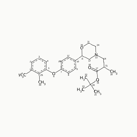 Cc1cccc(Oc2ccc(C3CN(CC(C)C(=O)OC(C)(C)C)CCO3)cc2)c1C